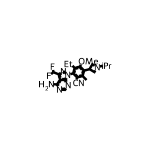 CCc1c(OC)c(C2CN(C(C)C)C2)c(C)c(C#N)c1-n1nc(C(F)F)c2c(N)ncnc21